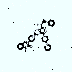 O=C(N[C@@H](CC(=O)N1CCC(N2Cc3ccccc3NC2=O)CC1)C(=O)N1CCC(N2CCCCC2)CC1)N[C@@H]1C[C@H]1c1ccccc1